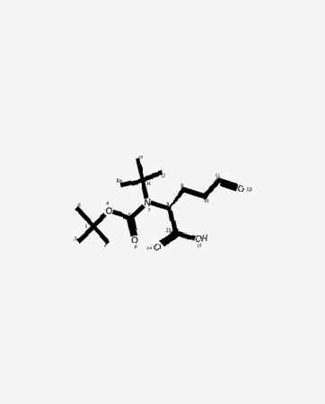 CC(C)(C)OC(=O)N([C@@H](CCC=O)C(=O)O)C(C)(C)C